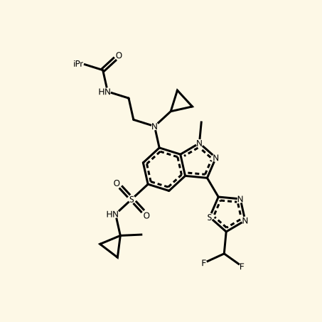 CC(C)C(=O)NCCN(c1cc(S(=O)(=O)NC2(C)CC2)cc2c(-c3nnc(C(F)F)s3)nn(C)c12)C1CC1